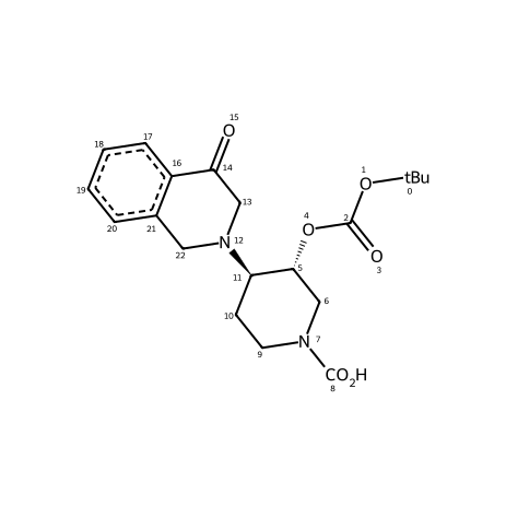 CC(C)(C)OC(=O)O[C@@H]1CN(C(=O)O)CC[C@H]1N1CC(=O)c2ccccc2C1